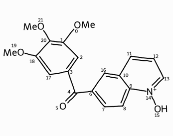 COc1cc(C(=O)c2ccc3c(ccc[n+]3O)c2)cc(OC)c1OC